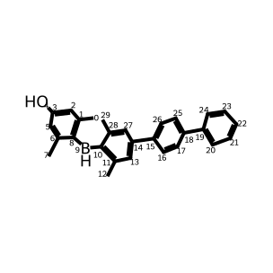 Cc1cc(O)cc(C)c1Bc1c(C)cc(-c2ccc(-c3ccccc3)cc2)cc1C